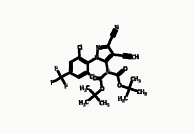 C#Cc1c(C#N)nn(-c2c(Cl)cc(C(F)(F)F)cc2Cl)c1N(C(=O)OC(C)(C)C)C(=O)OC(C)(C)C